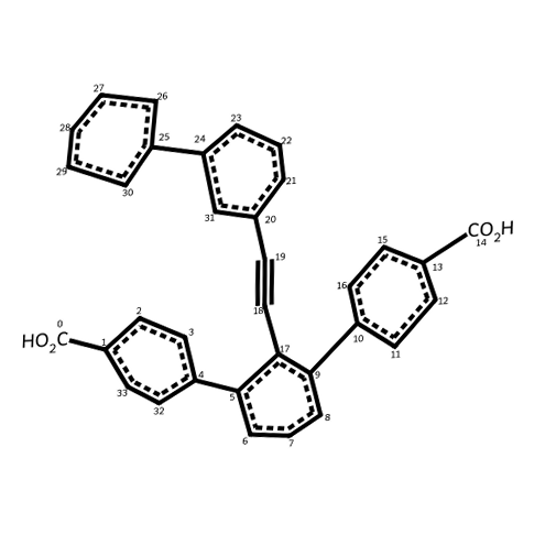 O=C(O)c1ccc(-c2cccc(-c3ccc(C(=O)O)cc3)c2C#Cc2cccc(-c3ccccc3)c2)cc1